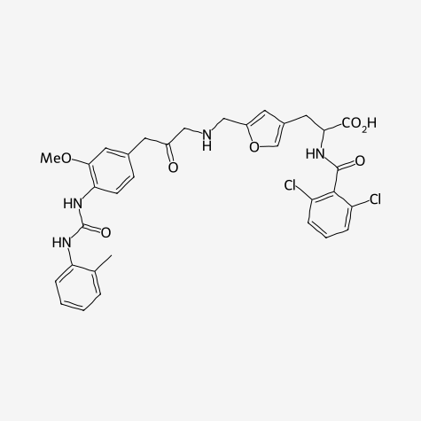 COc1cc(CC(=O)CNCc2cc(CC(NC(=O)c3c(Cl)cccc3Cl)C(=O)O)co2)ccc1NC(=O)Nc1ccccc1C